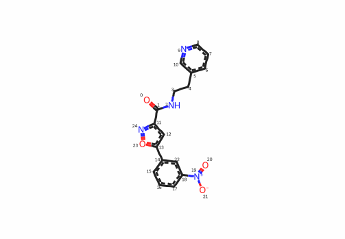 O=C(NCCc1cccnc1)c1cc(-c2cccc([N+](=O)[O-])c2)on1